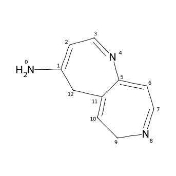 NC1=CC=NC2=CC=NCC=C2C1